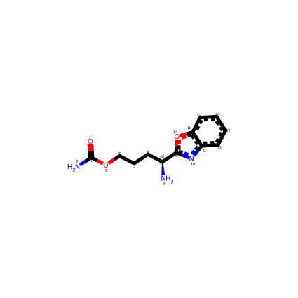 NC(=O)OCCC[C@H](N)c1nc2ccccc2o1